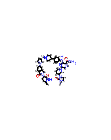 C=C1CCC(N2Cc3cc(N4CC[C@H](CN5CCC(c6ccc(Nc7nc(N8CCC[C@@H](N9CCN(C)C9=O)C8)cnc7C(N)=O)cc6)CC5)C4)ccc3C2=O)C(=O)N1